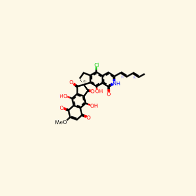 C/C=C/C=C/c1cc2c(Cl)c3c(c(O)c2c(=O)[nH]1)[C@@]1(CC3)C(=O)c2c(O)c3c(c(O)c2C1=O)C(=O)C(OC)=CC3=O